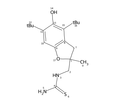 CC1(CNC(N)=S)Cc2c(cc(C(C)(C)C)c(O)c2C(C)(C)C)O1